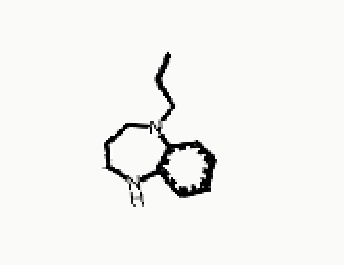 CCCN1CC[CH]Nc2ccccc21